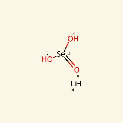 O=[Se](O)O.[LiH]